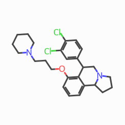 Clc1ccc(C2CN3CCCC3c3cccc(OCCCN4CCCCC4)c32)cc1Cl